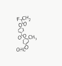 C=C(F)C(=O)Oc1ccc(C(=O)Oc2ccc(OC=O)cc2C)cc1